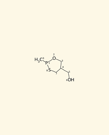 CP1OCC(CO)CS1